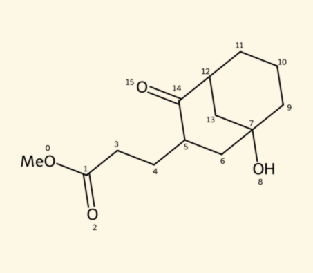 COC(=O)CCC1CC2(O)CCCC(C2)C1=O